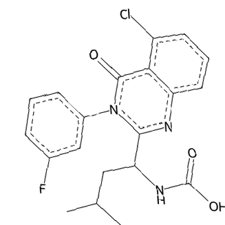 CC(C)CC(NC(=O)O)c1nc2cccc(Cl)c2c(=O)n1-c1cccc(F)c1